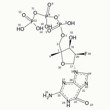 C[C@]1(COP(=O)(O)OP(=O)(O)OP(=O)(O)O)O[C@@H](n2cnc3c(=O)[nH]c(N)nc32)[C@H](F)[C@@H]1O